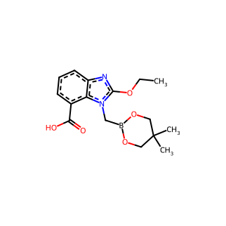 CCOc1nc2cccc(C(=O)O)c2n1CB1OCC(C)(C)CO1